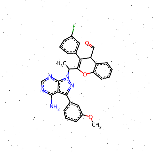 COc1cccc(-c2nn(C(C)C3=C(c4cccc(F)c4)C(C=O)c4ccccc4O3)c3ncnc(N)c23)c1